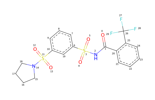 O=C(NS(=O)(=O)c1cccc(S(=O)(=O)N2CCCC2)c1)c1ccccc1C(F)(F)F